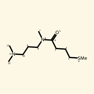 CSCCCC(=O)N(C)CCCN(C)C